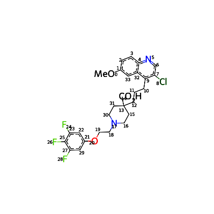 COc1ccc2ncc(Cl)c(CCCC3(C(=O)O)CCN(CCOc4cc(F)c(F)c(F)c4)CC3)c2c1